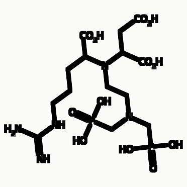 N=C(N)NCCCC(C(=O)O)N(CCN(CP(=O)(O)O)CP(=O)(O)O)C(CC(=O)O)C(=O)O